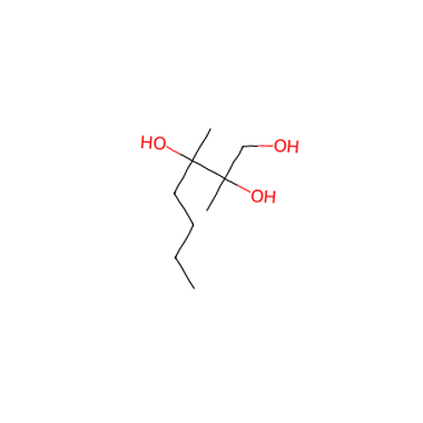 CCCCC(C)(O)C(C)(O)CO